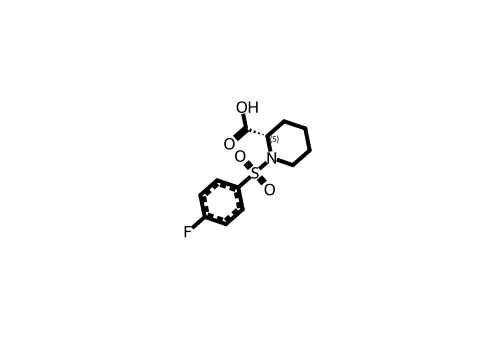 O=C(O)[C@@H]1CCCCN1S(=O)(=O)c1ccc(F)cc1